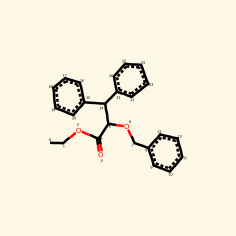 CCOC(=O)C(OCc1ccccc1)C(c1ccccc1)c1ccccc1